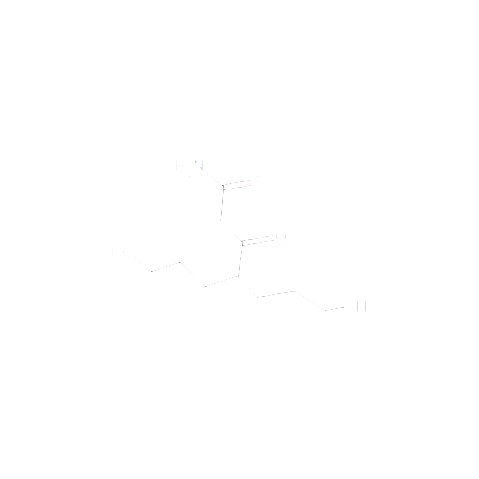 CCCCC(CCCC)C(=O)CC(N)=O